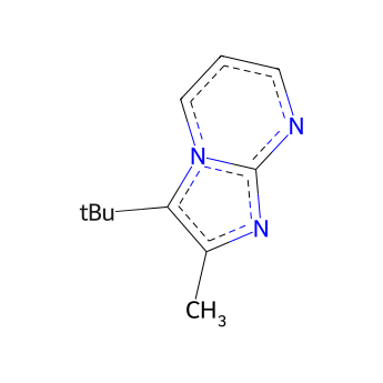 Cc1nc2ncccn2c1C(C)(C)C